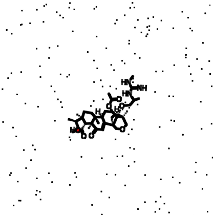 CNC(=N)NC(C)CO[C@H]1[C@H](OC(C)=O)C[C@@]23COC[C@@]1(C)[C@@H]2CC[C@H]1C3=CC(=O)[C@@]2(C)[C@H](C(=O)O)[C@@](C)([C@H](C)C(C)C)CC[C@]12C